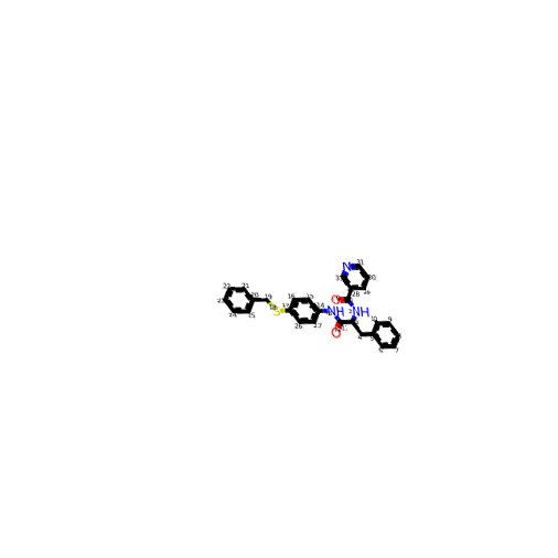 O=C(NC(Cc1ccccc1)C(=O)Nc1ccc(SCc2ccccc2)cc1)c1cccnc1